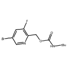 CC(C)(C)NC(=O)OCc1ncc(Br)cc1F